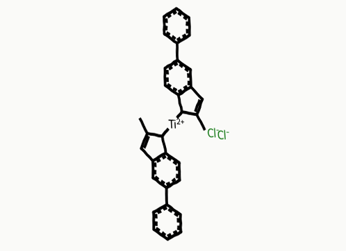 CC1=Cc2cc(-c3ccccc3)ccc2[CH]1[Ti+2][CH]1C(C)=Cc2cc(-c3ccccc3)ccc21.[Cl-].[Cl-]